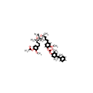 COc1cc(CCC[Si](C)(C)O[Si](C)(C)O[Si](C)(C)CCCc2ccc(OC(=O)Oc3ccc(C(C)(C)c4ccccc4)cc3C)c(OC)c2)ccc1OC(C)=O